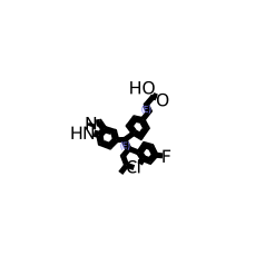 CC(C)C/C(=C(/c1ccc(/C=C/C(=O)O)cc1)c1ccc2[nH]ncc2c1)c1ccc(F)cc1Cl